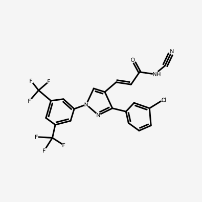 N#CNC(=O)C=Cc1cn(-c2cc(C(F)(F)F)cc(C(F)(F)F)c2)nc1-c1cccc(Cl)c1